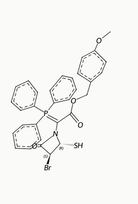 COc1ccc(COC(=O)C(N2C(=O)[C@H](Br)[C@H]2S)=P(c2ccccc2)(c2ccccc2)c2ccccc2)cc1